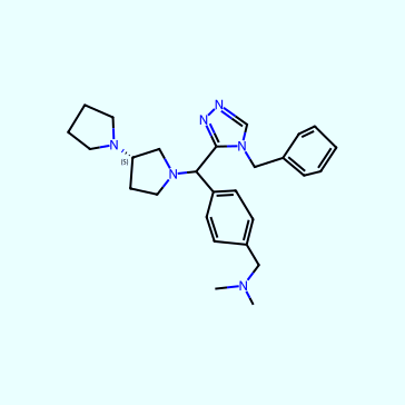 CN(C)Cc1ccc(C(c2nncn2Cc2ccccc2)N2CC[C@H](N3CCCC3)C2)cc1